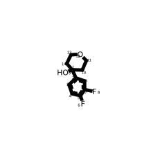 OC1(c2ccc(F)c(F)c2)CCOCC1